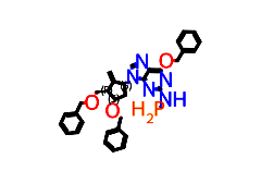 C=C1[C@H](COCc2ccccc2)[C@@H](OCc2ccccc2)C[C@@H]1n1cnc2c(OCc3ccccc3)nc(NP)nc21